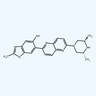 Cc1nc2cc(O)c(-c3ccc4nc(N5C[C@@H](C)N[C@H](C)C5)ccc4n3)cc2o1